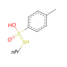 CCC[SH]=S(=O)(O)c1ccc(C)cc1